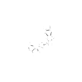 COc1ccc(C)cc1C(=O)N1CC[C@@H](Nc2cnc3cc(F)c(F)cc3n2)C1